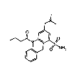 CCCC(=O)Nc1cc(CN(C)C)cc(S(N)(=O)=O)c1Cc1ccccc1